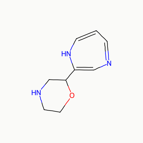 C1=CNC(C2CNCCO2)=CN=C1